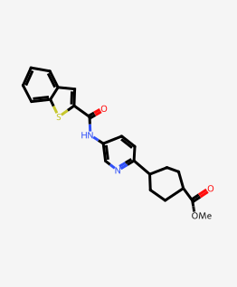 COC(=O)C1CCC(c2ccc(NC(=O)c3cc4ccccc4s3)cn2)CC1